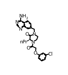 CCC[C@H]1C(=O)N(Cc2ccc3c(N)ncnc3c2)CCN1C(=O)COc1cccc(Cl)c1